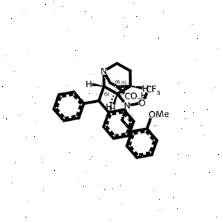 COc1ccccc1CN(OC(F)(F)F)[C@H]1[C@H]2CCN(C[C@@H]2C(=O)O)[C@H]1C(c1ccccc1)c1ccccc1